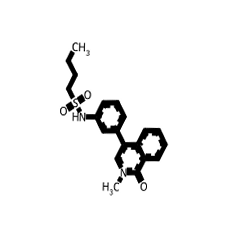 CCCCS(=O)(=O)Nc1cccc(-c2cn(C)c(=O)c3ccccc23)c1